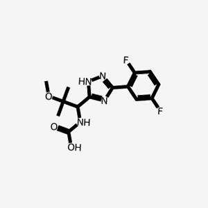 COC(C)(C)C(NC(=O)O)c1nc(-c2cc(F)ccc2F)n[nH]1